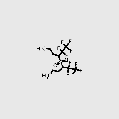 CCCC(C(F)(F)C(F)(F)F)S(=O)(=O)C(CCC)C(F)(F)C(F)(F)F